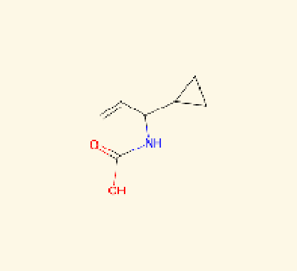 C=CC(NC(=O)O)C1CC1